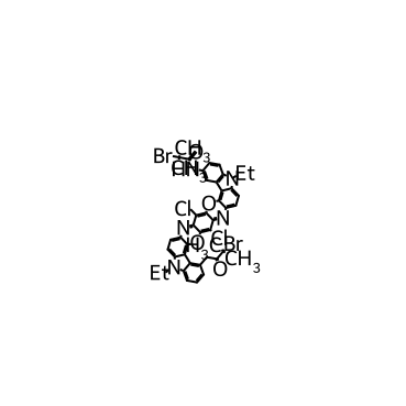 CCn1c2ccc(NC(=O)C(C)(C)Br)cc2c2c3c(ccc21)N=c1c(Cl)c2c(c(Cl)c1O3)=Nc1ccc3c(c1O2)c1c(CC(=O)C(C)(C)Br)cccc1n3CC